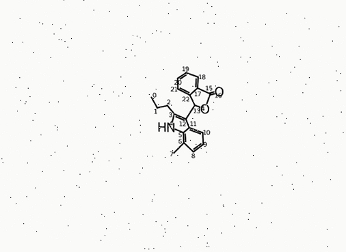 CCCc1[nH]c2c(C)cccc2c1C1OC(=O)c2ccccc21